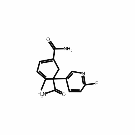 CC1=CC=C(C(N)=O)CC1(C(N)=O)c1ccc(F)nc1